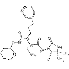 CC(C)C[C@@H](C(=O)NN1C(=O)NC(C)(C)C1=O)[C@H](CCCc1ccccc1)C(=O)NOC1CCCCO1